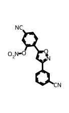 N#Cc1cccc(-c2cc(-c3ccc(C#N)cc3O[N+](=O)[O-])on2)c1